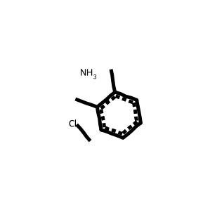 CCl.Cc1ccccc1C.N